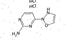 Cl.Cl.Nc1nccc(N2NC=CO2)n1